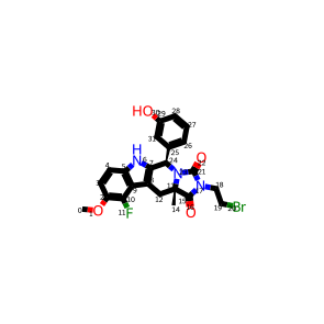 COc1ccc2[nH]c3c(c2c1F)C[C@@]1(C)C(=O)N(CCBr)C(=O)N1[C@@H]3c1cccc(O)c1